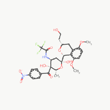 COc1ccc(OC)c2c1C[C@@H](CCO)O[C@H]2[C@]1(O)C[C@H](NC(=O)C(F)(F)F)[C@](O)(C(=O)c2ccc([N+](=O)[O-])cc2)[C@@H](C)O1